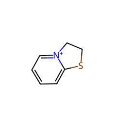 c1cc[n+]2c(c1)SCC2